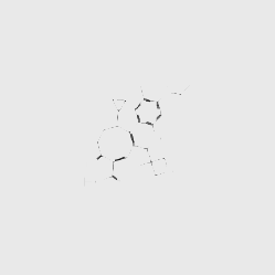 CCOc1cc2c(cc1C)C1=C(/C=C(/C(=O)O)C(=O)CCC1C1CC1)C(C1(C)COC1)O2